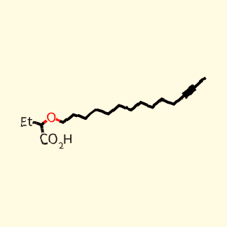 CC#CCCCCCCCCCCCOC(CC)C(=O)O